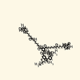 Cc1c(-c2cccc(S(=O)(=O)N(C)C)c2)c2cc(C(=O)Nc3cc(C(=O)NCCCCCNC(=O)CCCC[C@@H]4SC[C@@H]5NC(=O)N[C@@H]54)cc(C(=O)NCCCCCNC(=O)CCCC[C@@H]4SC[C@@H]5NC(=O)N[C@@H]54)c3)ccc2n1C/C(F)=C/CN